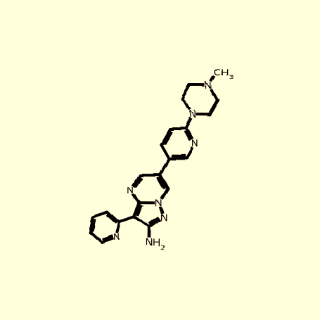 CN1CCN(c2ccc(-c3cnc4c(-c5ccccn5)c(N)nn4c3)cn2)CC1